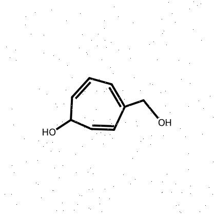 OCC1=CC=CC(O)C=C1